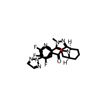 Cn1nc2c(c1-c1cc(F)c(F)c(F)c1)C[C@@H]1CCC[C@H]2N1CC(=O)c1cncc(-n2nccn2)c1